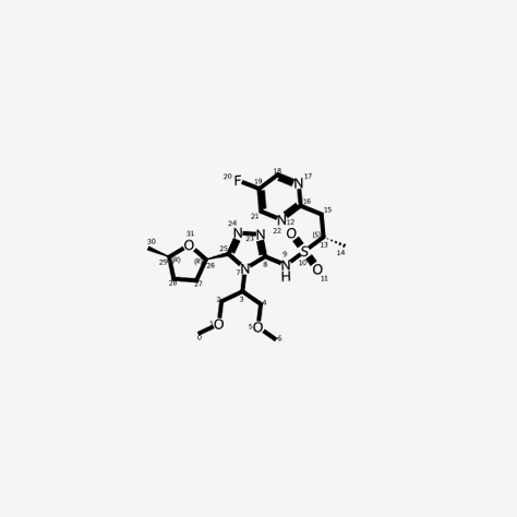 COCC(COC)n1c(NS(=O)(=O)[C@@H](C)Cc2ncc(F)cn2)nnc1[C@H]1CC[C@@H](C)O1